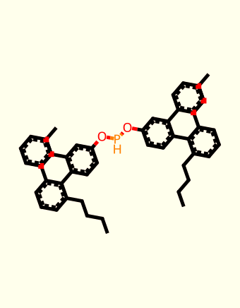 CCCCc1cccc(CCCC)c1-c1ccc(OPOc2ccc(-c3c(CCCC)cccc3CCCC)c(-c3ccccc3)c2)cc1-c1ccccc1